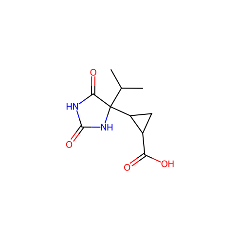 CC(C)C1(C2CC2C(=O)O)NC(=O)NC1=O